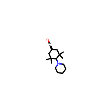 CC1(C)CC(=C=O)CC(C)(C)C1N1CCCCC1